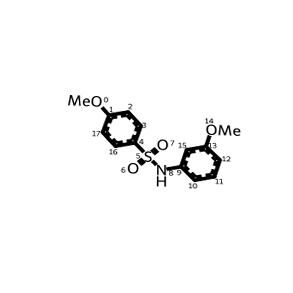 COc1ccc(S(=O)(=O)Nc2cccc(OC)c2)cc1